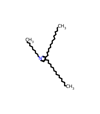 CCCCCCCCCCCCCCCc1cc[n+](CCCCCCCCCC)cc1CCCCCCCCCCCCCCC